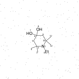 CCN1C(C)(C)CC(O)(O)CC1(C)C